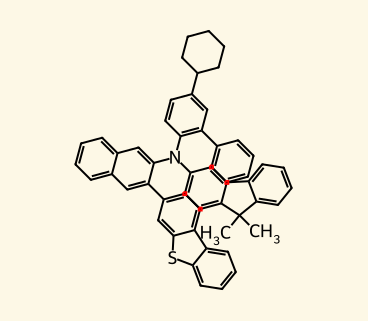 CC1(C)c2ccccc2-c2cc(N(c3ccc(C4CCCCC4)cc3-c3ccccc3)c3cc4ccccc4cc3-c3ccc4c(c3)sc3ccccc34)ccc21